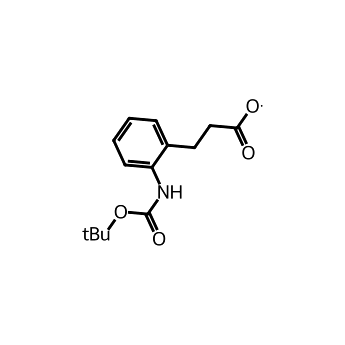 CC(C)(C)OC(=O)Nc1ccccc1CCC([O])=O